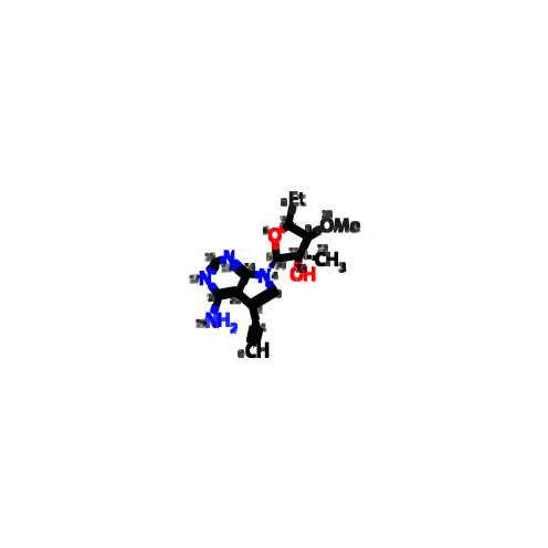 C#Cc1cn([C@@H]2OC(CC)C(OC)[C@@]2(C)O)c2ncnc(N)c12